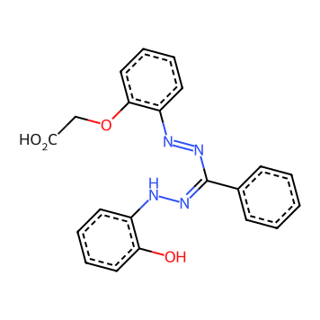 O=C(O)COc1ccccc1N=NC(=NNc1ccccc1O)c1ccccc1